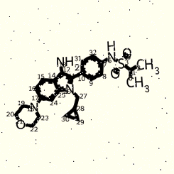 CC(C)S(=O)(=O)Nc1ccc(-c2c(N)c3ccc(N4CCOCC4)cc3n2CC2CC2)cc1